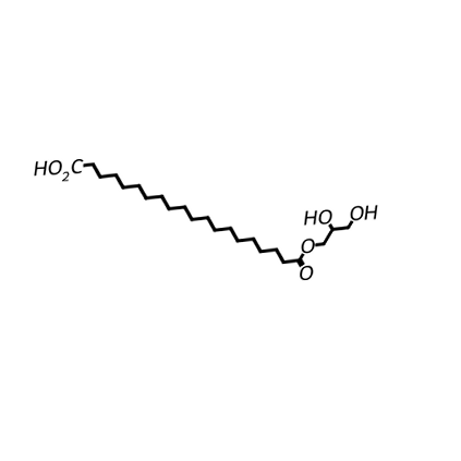 O=C(O)CCCCCCCCCCCCCCCCCCC(=O)OCC(O)CO